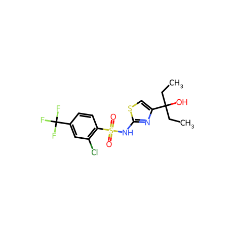 CCC(O)(CC)c1csc(NS(=O)(=O)c2ccc(C(F)(F)F)cc2Cl)n1